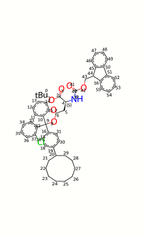 CC(C)(C)OC(=O)[C@H](CC(=O)OC(c1ccccc1)(c1ccc(C2CCCCCCCCC2)cc1)c1ccccc1Cl)NC(=O)OCC1c2ccccc2-c2ccccc21